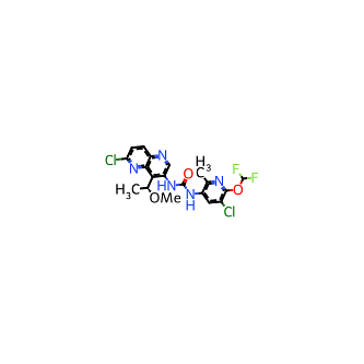 CO[C@@H](C)c1c(NC(=O)Nc2cc(Cl)c(OC(F)F)nc2C)cnc2ccc(Cl)nc12